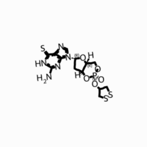 Nc1nc2c(ncn2[C@H]2C[C@@H]3O[P@@](=O)(OC4CSSC4)OC[C@H]3O2)c(=S)[nH]1